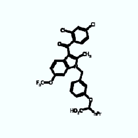 CCCC(Oc1cccc(Cn2c(C)c(C(=O)c3ccc(Cl)cc3Cl)c3ccc(OC(F)(F)F)cc32)c1)C(=O)O